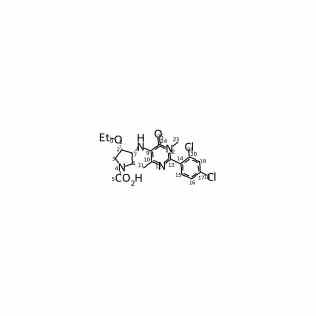 CCO[C@H]1CN(C(=O)O)C[C@H]1Nc1c(C)nc(-c2ccc(Cl)cc2Cl)n(C)c1=O